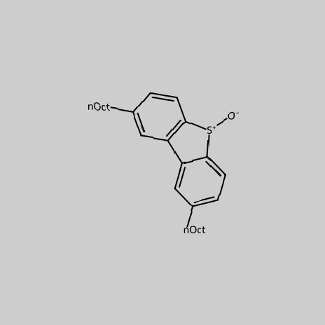 CCCCCCCCc1ccc2c(c1)c1cc(CCCCCCCC)ccc1[s+]2[O-]